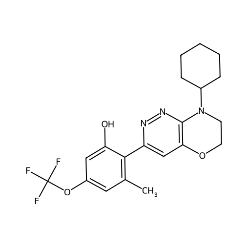 Cc1cc(OC(F)(F)F)cc(O)c1-c1cc2c(nn1)N(C1CCCCC1)CCO2